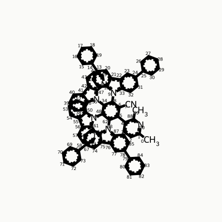 Cc1ccc(-c2c(C#N)c(-n3c4ccc(-c5ccccc5)cc4c4cc(-c5ccccc5)ccc43)c(-n3c4ccccc4c4cccnc43)c(-n3c4ccccc4c4cccnc43)c2-n2c3ccc(-c4ccccc4)cc3c3cc(-c4ccccc4)ccc32)c(C)n1